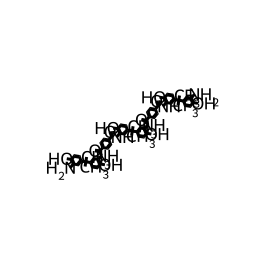 CC(C)(c1ccc(O)c(N)c1)c1ccc(O)c(NC(=O)c2ccc(C(=O)Nc3cc(C(C)(C)c4ccc(O)c(NC(=O)c5ccc(C(=O)Nc6cc(C(c7ccc(O)c(N)c7)(C(F)(F)F)C(F)(F)F)ccc6O)cc5)c4)ccc3O)cc2)c1